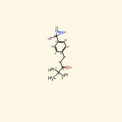 CCCC(C)(CCC)C(=O)CCc1ccc(C2(I)N=N2)cc1